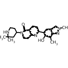 Cc1c(O)c(-c2ccc3c(=O)n(C4CCNC(C)(C)C4)ccc3n2)cc2cn(C)nc12